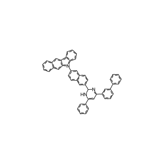 C1=C(c2ccccc2)NC(c2ccc3cc(-n4c5ccccc5c5cc6ccccc6cc54)ccc3c2)N=C1c1cccc(-c2ccccc2)c1